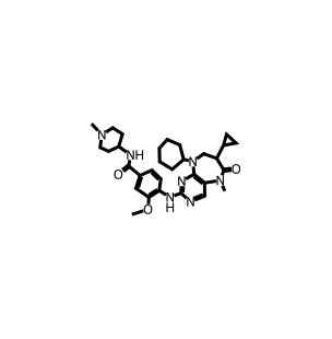 COc1cc(C(=O)NC2CCN(C)CC2)ccc1Nc1ncc2c(n1)N(C1CCCCC1)CC(C1CC1)C(=O)N2C